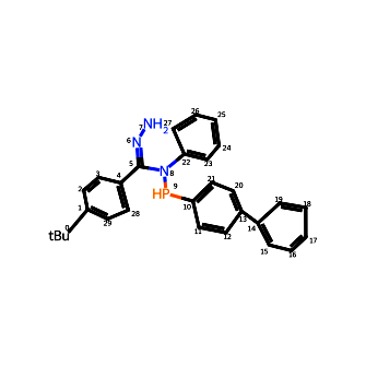 CC(C)(C)c1ccc(/C(=N/N)N(Pc2ccc(-c3ccccc3)cc2)c2ccccc2)cc1